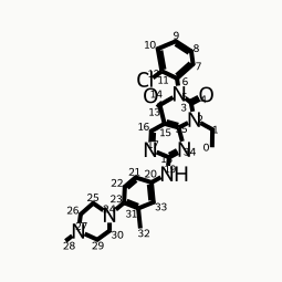 CCn1c(=O)n(-c2ccccc2Cl)c(=O)c2cnc(Nc3ccc(N4CCN(C)CC4)c(C)c3)nc21